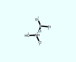 CCN(CC)CC.ONCl